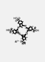 O=S(=O)(O)c1ccc2c(c1)-c1nc-2nc2nc(nc3[nH]c(nc4[nH]c(n1)c1cc(S(=O)(=O)O)ccc41)c1cc(S(=O)(=O)O)ccc31)-c1cc(S(=O)(=O)O)ccc1-2.[Al+3]